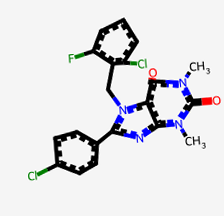 Cn1c(=O)c2c(nc(-c3ccc(Cl)cc3)n2Cc2c(F)cccc2Cl)n(C)c1=O